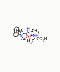 CC(=O)N(c1cccc2ccccc12)[C@@H](C)C(=O)N[C@@H](C)C(=O)N[C@@H](C)C(=O)O